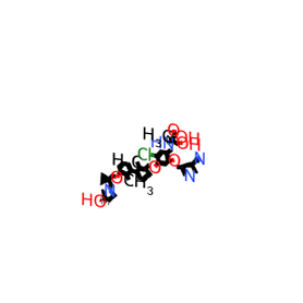 Cc1c(COc2cc(OCc3cncc(C#N)c3)c(CN[C@@](C)(CO)C(=O)O)cc2Cl)cccc1-c1cccc(OCC2(CN3CC[C@@H](O)C3)CC2)c1C